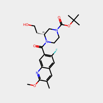 COc1nc2cc(C(=O)N3CCN(C(=O)OC(C)(C)C)C[C@H]3CCO)c(F)cc2cc1C